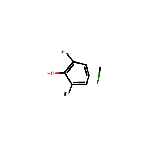 CC(C)c1cccc(C(C)C)c1O.[CH]F